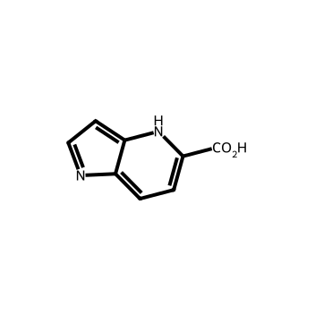 O=C(O)c1ccc2nccc-2[nH]1